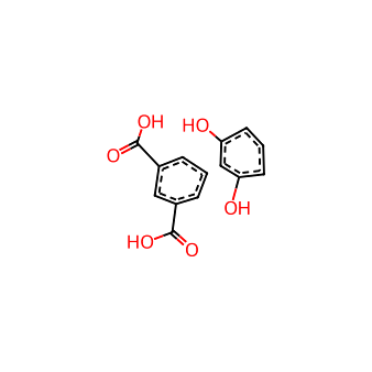 O=C(O)c1cccc(C(=O)O)c1.Oc1cccc(O)c1